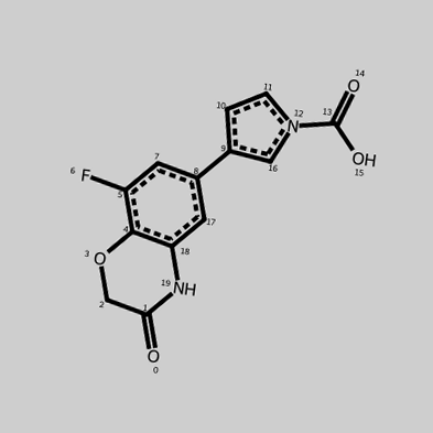 O=C1COc2c(F)cc(-c3ccn(C(=O)O)c3)cc2N1